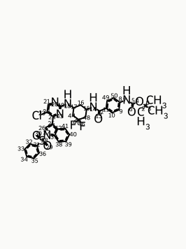 CC(C)(C)OC(=O)Nc1ccc(C(=O)NC2CC(Nc3ncc(Cl)c(-c4cn(S(=O)(=O)c5ccccc5)c5ccccc45)n3)CC(F)(F)C2)cc1